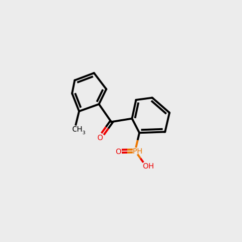 Cc1ccccc1C(=O)c1ccccc1[PH](=O)O